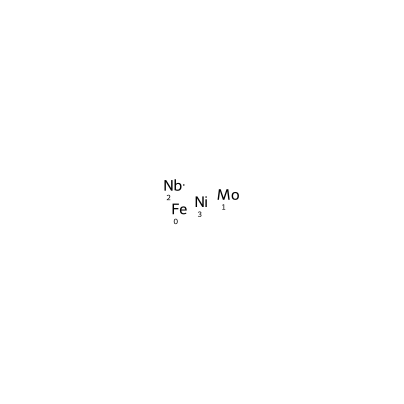 [Fe].[Mo].[Nb].[Ni]